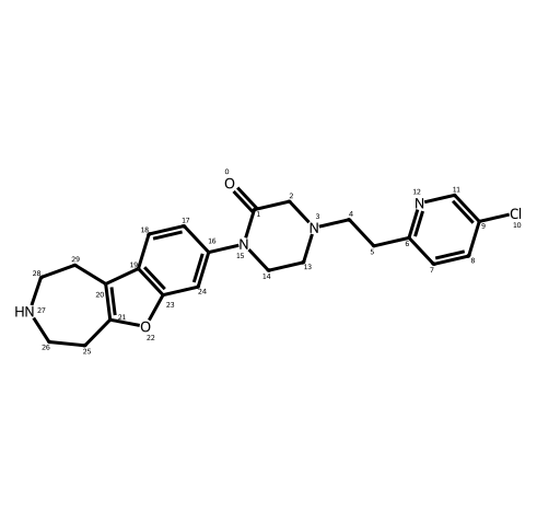 O=C1CN(CCc2ccc(Cl)cn2)CCN1c1ccc2c3c(oc2c1)CCNCC3